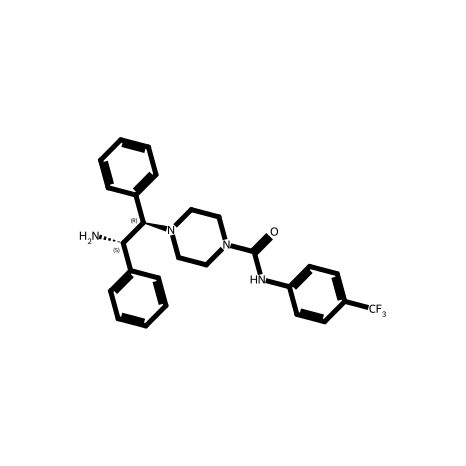 N[C@@H](c1ccccc1)[C@@H](c1ccccc1)N1CCN(C(=O)Nc2ccc(C(F)(F)F)cc2)CC1